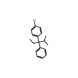 CCC(c1ccccc1)(c1ccc(Cl)cc1)C(C)C